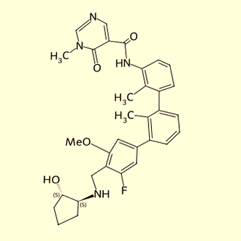 COc1cc(-c2cccc(-c3cccc(NC(=O)c4cncn(C)c4=O)c3C)c2C)cc(F)c1CN[C@H]1CCC[C@@H]1O